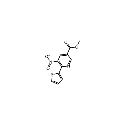 COC(=O)c1cnc(-c2cccs2)c([N+](=O)[O-])c1